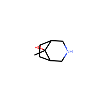 CC1(O)C2CCC1CNC2